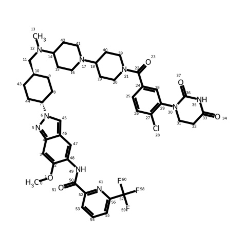 COc1cc2nn([C@H]3CC[C@H](CN(C)C4CCN(C5CCN(C(=O)c6ccc(Cl)c(N7CCC(=O)NC7=O)c6)CC5)CC4)CC3)cc2cc1NC(=O)c1cccc(C(F)(F)F)n1